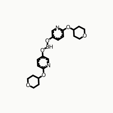 B(Oc1ccc(OC2CCOCC2)nc1)Oc1ccc(OC2CCOCC2)nc1